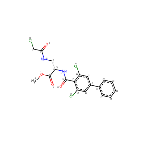 COC(=O)[C@H](CNC(=O)CCl)NC(=O)c1c(Cl)cc(-c2ccccc2)cc1Cl